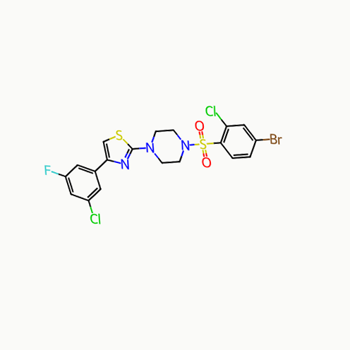 O=S(=O)(c1ccc(Br)cc1Cl)N1CCN(c2nc(-c3cc(F)cc(Cl)c3)cs2)CC1